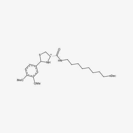 CCCCCCCCCCCCCCCCCCNC(=O)[C@H]1CSC(c2ccc(OC)c(OC)c2)N1